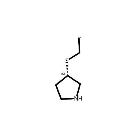 [CH2]CS[C@H]1CCNC1